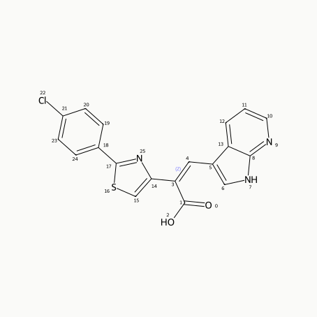 O=C(O)/C(=C\c1c[nH]c2ncccc12)c1csc(-c2ccc(Cl)cc2)n1